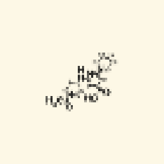 CC(=O)N1CCC(Nc2cc(C(=O)O)cc(N3CCCCC3)n2)CC1